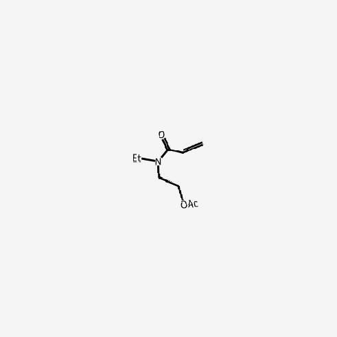 C=CC(=O)N(CC)CCOC(C)=O